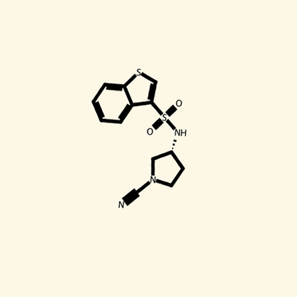 N#CN1CC[C@@H](NS(=O)(=O)c2csc3ccccc23)C1